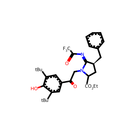 CCOC(=O)C1C[C@H](Cc2ccccc2)/C(=N/C(=O)C(F)(F)F)N1CC(=O)c1cc(C(C)(C)C)c(O)c(C(C)(C)C)c1